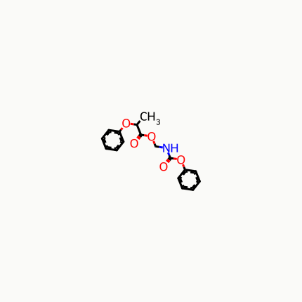 CC(Oc1ccccc1)C(=O)OCNC(=O)Oc1ccccc1